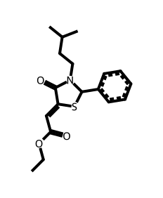 CCOC(=O)/C=C1\SC(c2ccccc2)N(CCC(C)C)C1=O